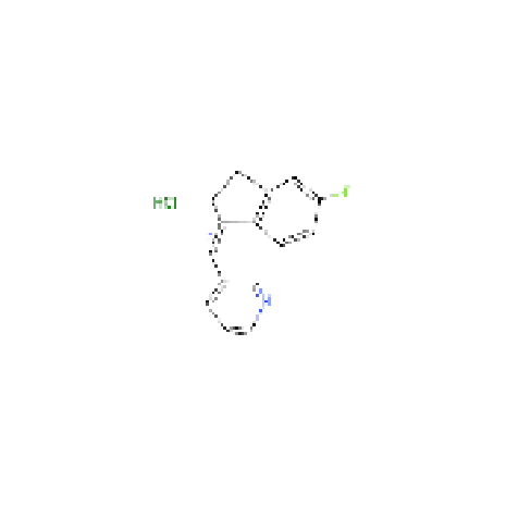 Cl.Fc1ccc2c(c1)CC/C2=C/c1cccnc1